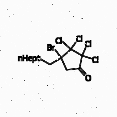 CCCCCCCCC1(Br)CC(=O)C(Cl)(Cl)C1(Cl)Cl